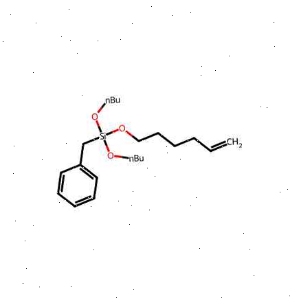 C=CCCCCO[Si](Cc1ccccc1)(OCCCC)OCCCC